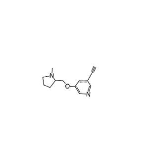 C#Cc1cncc(OCC2CCCN2C)c1